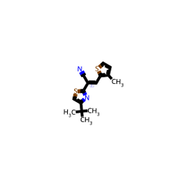 Cc1ccsc1/C=C(\C#N)c1nc(C(C)(C)C)cs1